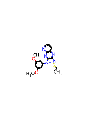 CCSNc1nc2cccnc2nc1Nc1cc(OC)cc(OC)c1